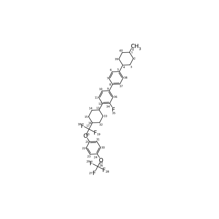 CC1CCC(c2ccc(-c3ccc(C4CCC(C(F)(F)Oc5ccc(OC(F)(F)F)cc5)CC4)c(F)c3)cc2)CC1